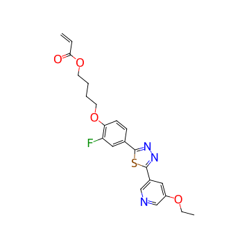 C=CC(=O)OCCCCOc1ccc(-c2nnc(-c3cncc(OCC)c3)s2)cc1F